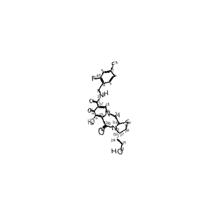 O=C(NCc1ccc(F)cc1F)c1cn2c(c(O)c1=O)C(=O)N1C(C2)SC[C@@H]1CCO